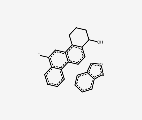 OC1CCCc2c1ccc1c2cc(F)c2ccccc21.b1occ2ccccc12